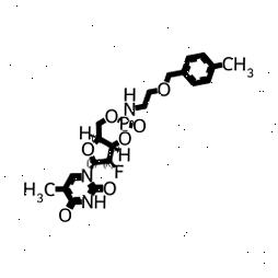 Cc1ccc(COCCNP2(=O)OC[C@@H]3O[C@H](n4cc(C)c(=O)[nH]c4=O)[C@H](F)[C@H]3O2)cc1